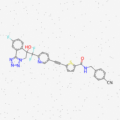 N#Cc1ccc(CNC(=O)c2ccc(C#Cc3ccc(C(F)(F)C4(O)Cn5nnnc5-c5cc(F)ccc54)nc3)s2)cc1